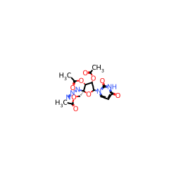 CC(=O)OC[C@@]1(N=[N+]=[N-])OC(n2ccc(=O)[nH]c2=O)[C@@H](OC(C)=O)[C@@H]1OC(C)=O